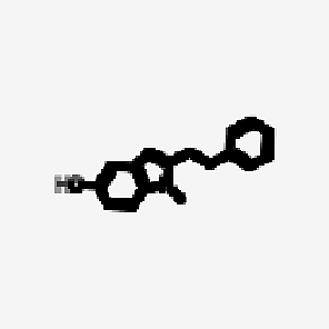 Cn1c(CCc2ccccc2)cc2cc(O)ccc21